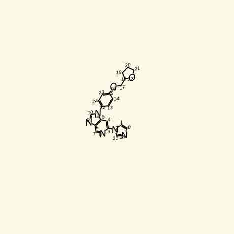 c1cn(-c2cc3c(cn2)ncn3-c2ccc(OCC3CCCO3)cc2)cn1